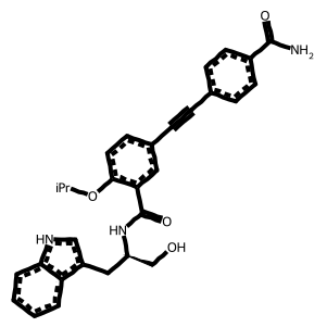 CC(C)Oc1ccc(C#Cc2ccc(C(N)=O)cc2)cc1C(=O)N[C@@H](CO)Cc1c[nH]c2ccccc12